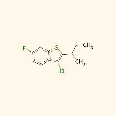 CCC(C)c1sc2cc(F)ccc2c1Cl